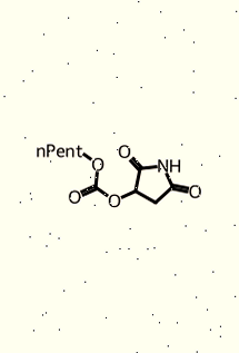 CCCCCOC(=O)OC1CC(=O)NC1=O